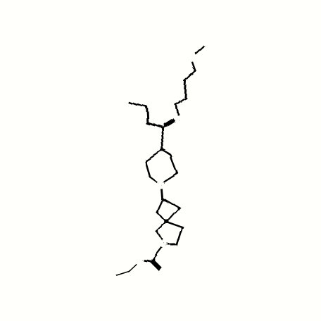 CCC/C(=N\CCCCOC)C1CCN(C2CC3(CCN(C(=O)OCC)C3)C2)CC1